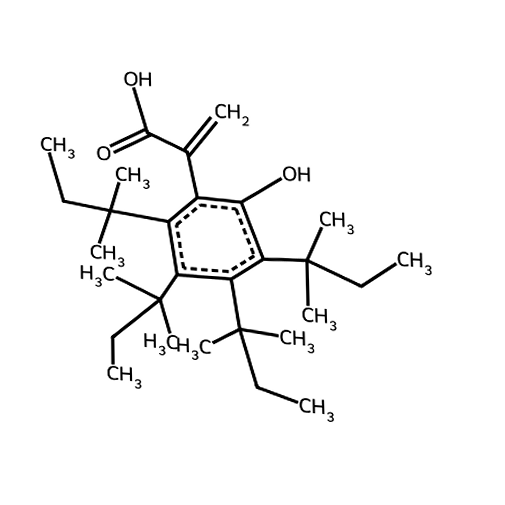 C=C(C(=O)O)c1c(O)c(C(C)(C)CC)c(C(C)(C)CC)c(C(C)(C)CC)c1C(C)(C)CC